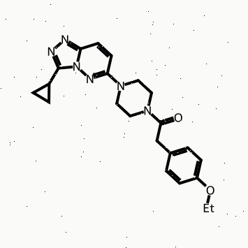 CCOc1ccc(CC(=O)N2CCN(c3ccc4nnc(C5CC5)n4n3)CC2)cc1